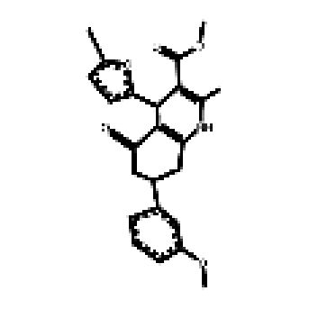 COC(=O)C1=C(C)NC2=C(C(=O)CC(c3cccc(OC)c3)C2)C1c1ccc(C)o1